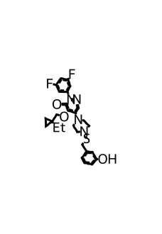 CCC1(COc2c(N3CCN(SCc4cccc(O)c4)CC3)cnn(-c3cc(F)cc(F)c3)c2=O)CC1